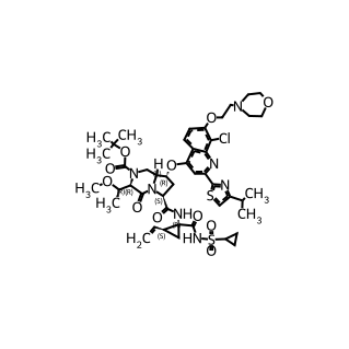 C=C[C@@H]1C[C@]1(NC(=O)[C@@H]1C[C@@H](Oc2cc(-c3nc(C(C)C)cs3)nc3c(Cl)c(OCCN4CCOCC4)ccc23)[C@H]2CN(C(=O)OC(C)(C)C)[C@H]([C@@H](C)OC)C(=O)N21)C(=O)NS(=O)(=O)C1CC1